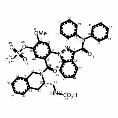 COc1cc(-n2nc(C(=O)N(c3ccccc3)c3ccccc3)c3ccccc32)c(C(=O)N2Cc3ccccc3C[C@H]2CNC(=O)O)cc1OS(=O)(=O)C(F)(F)F